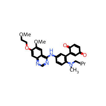 COCCOc1cc2ncnc(Nc3ccc(N(C)CC(C)C)c(C4=CC(=O)C=CC4=O)c3)c2cc1OC